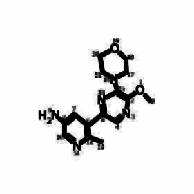 COc1ncc(-c2cc(N)cnc2C)nc1N1CCOCC1